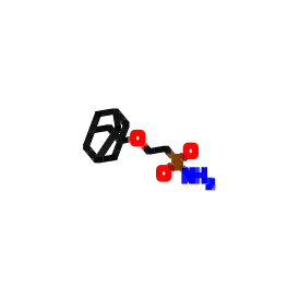 NS(=O)(=O)CCOC12CC3CC(CC(C3)C1)C2